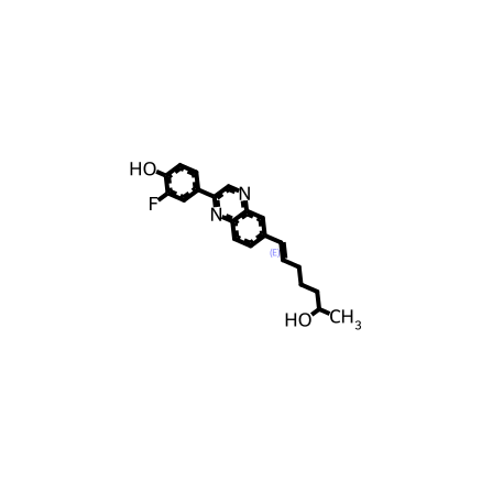 CC(O)CCC/C=C/c1ccc2nc(-c3ccc(O)c(F)c3)cnc2c1